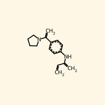 C=CC(=C)Nc1ccc(C(=C)N2CCCC2)cc1